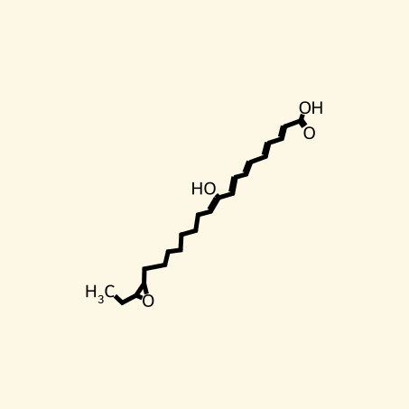 CCC1OC1CCCCCCCC=C(O)C=CC=CC=CC=CC(=O)O